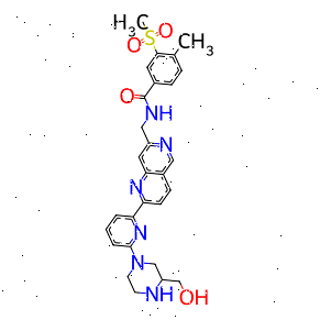 Cc1ccc(C(=O)NCc2cc3nc(-c4cccc(N5CCNC(CO)C5)n4)ccc3cn2)cc1S(C)(=O)=O